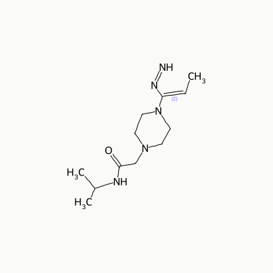 C/C=C(\N=N)N1CCN(CC(=O)NC(C)C)CC1